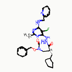 Cc1nc(NCc2ccccn2)c(F)c(NNC(=O)[C@H](CC2CCCC2)CN(C=O)OCc2ccccc2)n1